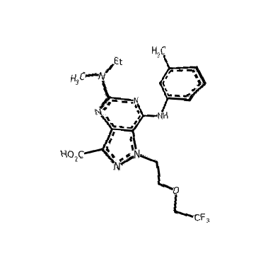 CCN(C)c1nc(Nc2cccc(C)c2)c2c(n1)c(C(=O)O)nn2CCOCC(F)(F)F